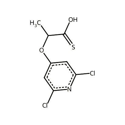 CC(Oc1cc(Cl)nc(Cl)c1)C(O)=S